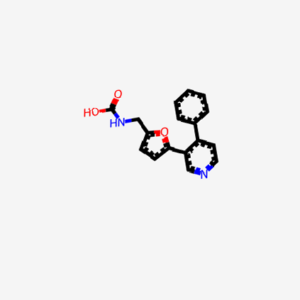 O=C(O)NCc1ccc(-c2cnccc2-c2ccccc2)o1